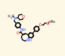 CCCCOCCOc1ccc(-c2ccc3c(c2)C=C(C(=O)Nc2ccc(CN(C)C4CCOCC4)cc2)CCCN3)cc1